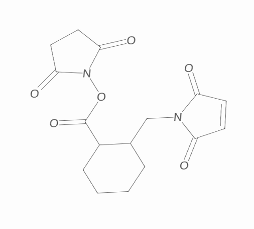 O=C(ON1C(=O)CCC1=O)C1CCCCC1CN1C(=O)C=CC1=O